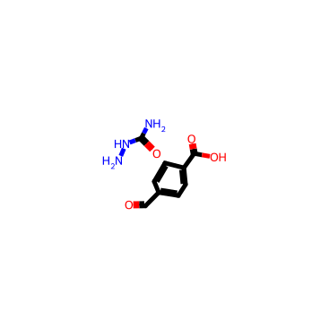 NNC(N)=O.O=Cc1ccc(C(=O)O)cc1